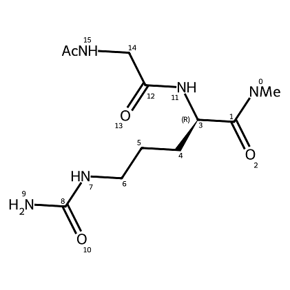 CNC(=O)[C@@H](CCCNC(N)=O)NC(=O)CNC(C)=O